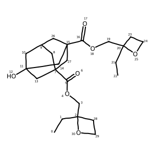 CCC1(COC(=O)C23CC4CC(O)(C2)CC(C(=O)OCC2(CC)CCO2)(C4)C3)CCO1